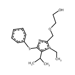 CCn1c(COCCO)nc(Sc2ccccc2)c1C(C)C